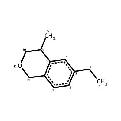 CCc1ccc2c(c1)C(C)COC2